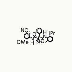 COc1ccc([N+](=O)[O-])cc1NC(=O)N(S)C(C(=O)Nc1c(C)cccc1C(C)C)c1ccccc1